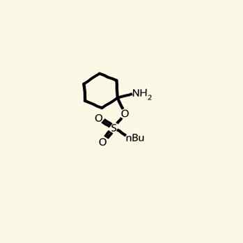 CCCCS(=O)(=O)OC1(N)CCCCC1